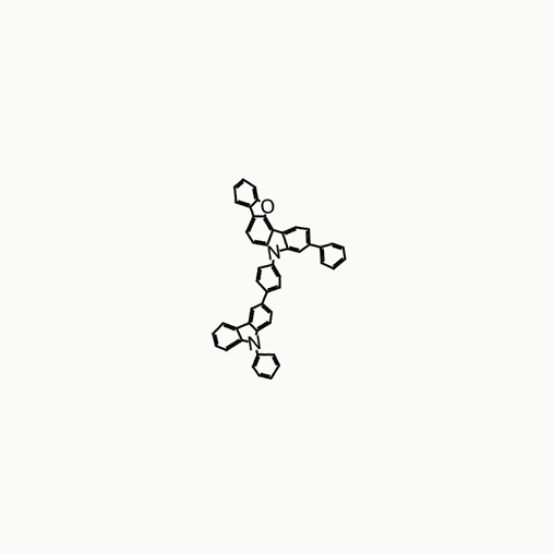 c1ccc(-c2ccc3c4c5oc6ccccc6c5ccc4n(-c4ccc(-c5ccc6c(c5)c5ccccc5n6-c5ccccc5)cc4)c3c2)cc1